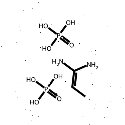 CC=C(N)N.O=P(O)(O)O.O=P(O)(O)O